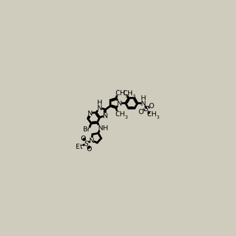 CCS(=O)(=O)N1CCC(Nc2c(Br)cnc3[nH]c(-c4cc(C)n(-c5ccc(NS(C)(=O)=O)cc5C)c4C)nc23)C1